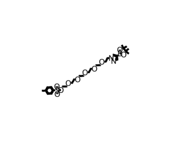 Cc1ccc(S(=O)(=O)OCCOCCOCCOCCOCCOCCn2cc(B3OC(C)(C)C(C)(C)O3)cn2)cc1